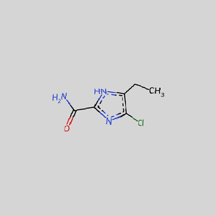 CCc1[nH]c(C(N)=O)nc1Cl